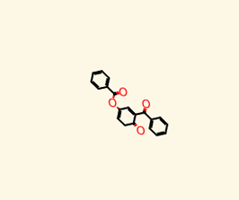 O=C1CC=C(OC(=O)c2ccccc2)C=C1C(=O)c1ccccc1